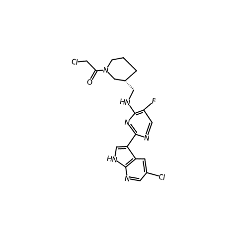 O=C(CCl)N1CCC[C@H](CNc2nc(-c3c[nH]c4ncc(Cl)cc34)ncc2F)C1